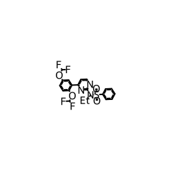 CCN(c1nccc(-c2cc(OC(F)F)ccc2OC(F)F)n1)S(=O)(=O)c1ccccc1